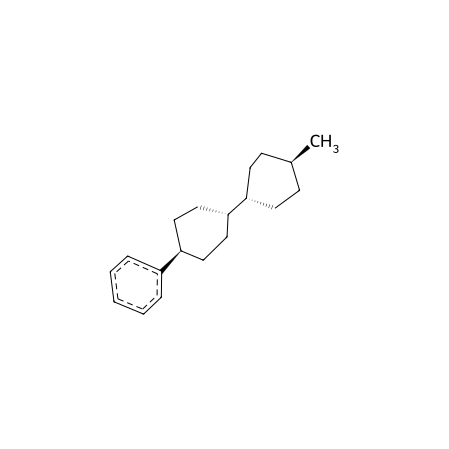 C[C@H]1CC[C@H]([C@H]2CC[C@H](c3ccccc3)CC2)CC1